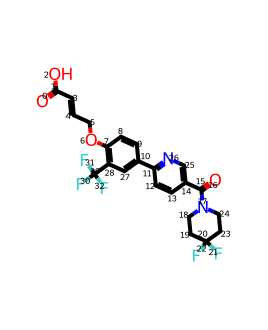 O=C(O)C=CCOc1ccc(-c2ccc(C(=O)N3CCC(F)(F)CC3)cn2)cc1C(F)(F)F